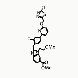 COCCn1c(Cc2ccc(-c3cccc(OCc4nnc(Cl)s4)n3)cc2F)nc2ccc(C(=O)OC)cc21